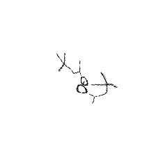 CC(CC(C)(C)C)OOC(C)CC(C)(C)C